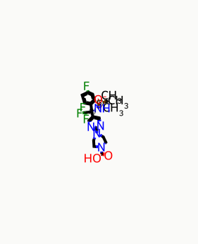 CC(C)(C)[S@@+]([O-])N[C@](c1ccc(F)cc1)(c1cnc(N2CCN(C(=O)O)CC2)nc1)C(F)(F)F